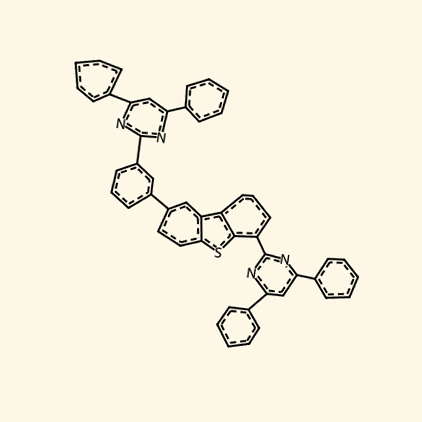 c1ccc(-c2cc(-c3ccccc3)nc(-c3cccc(-c4ccc5sc6c(-c7nc(-c8ccccc8)cc(-c8ccccc8)n7)cccc6c5c4)c3)n2)cc1